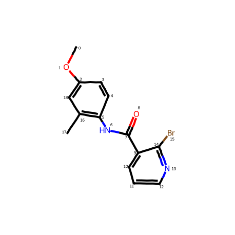 COc1ccc(NC(=O)c2cccnc2Br)c(C)c1